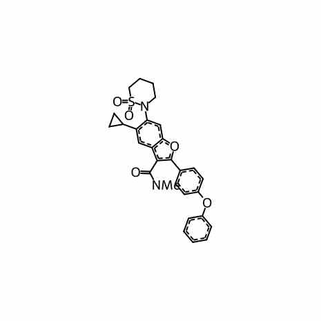 CNC(=O)c1c(-c2ccc(Oc3ccccc3)cc2)oc2cc(N3CCCCS3(=O)=O)c(C3CC3)cc12